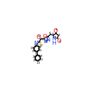 O=C1CC(=O)C(Cc2nnc(C(=O)c3nc4ccc(-c5ccccc5)cc4s3)o2)N1